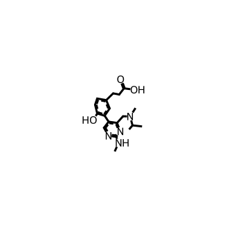 CNc1ncc(-c2cc(CCC(=O)O)ccc2O)c(CN(C)C(C)C)n1